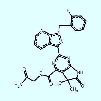 CC1(C)C(=O)Nc2nc(-c3nn(Cc4ccccc4F)c4ncccc34)nc(C(=O)NCC(N)=O)c21